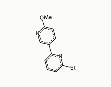 CCc1cccc(-c2ccc(OC)nc2)n1